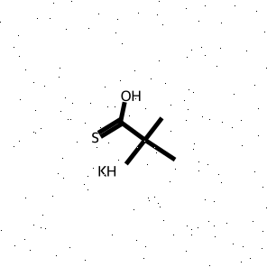 CC(C)(C)C(O)=S.[KH]